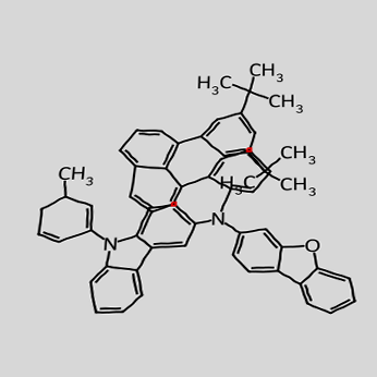 CC1C=C(n2c3ccccc3c3cc(N(c4ccc5c(c4)oc4ccccc45)c4ccccc4-c4cccc5cccc(-c6cc(C(C)(C)C)cc(C(C)(C)C)c6)c45)ccc32)C=CC1